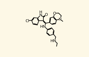 CCNCc1ccc(NC(=C2C(=O)Nc3cc(Cl)ccc32)c2ccc3c(c2)OCCN3C)cc1